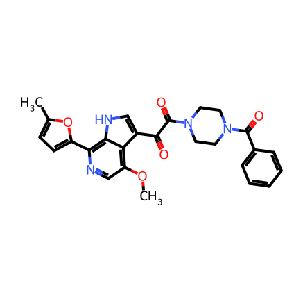 COc1cnc(-c2ccc(C)o2)c2[nH]cc(C(=O)C(=O)N3CCN(C(=O)c4ccccc4)CC3)c12